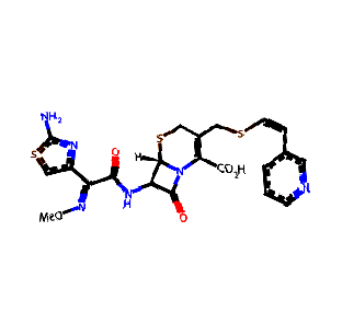 CON=C(C(=O)NC1C(=O)N2C(C(=O)O)=C(CS/C=C\c3cccnc3)CS[C@@H]12)c1csc(N)n1